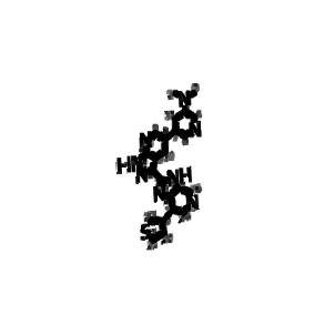 CN(C)c1cncc(-c2cnc3[nH]nc(-c4nc5c(-c6ccsc6)cncc5[nH]4)c3c2)c1